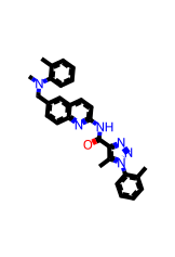 Cc1ccccc1N(C)Cc1ccc2nc(NC(=O)c3nnn(-c4ccccc4C)c3C)ccc2c1